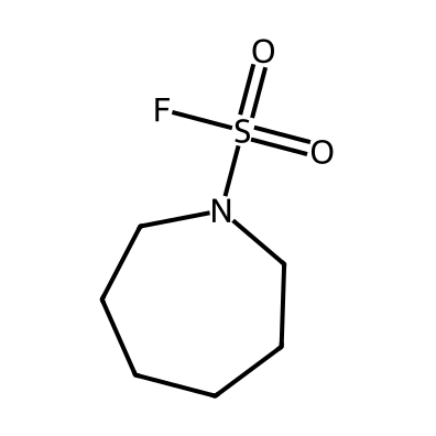 O=S(=O)(F)N1CCCCCC1